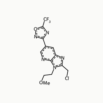 COCCn1c(CCl)nc2cc(-c3noc(C(F)(F)F)n3)cnc21